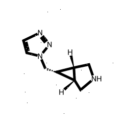 c1cn(C[C@@H]2[C@@H]3CNC[C@@H]32)nn1